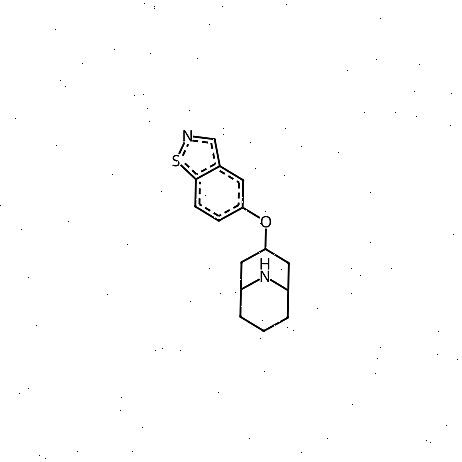 c1cc2sncc2cc1OC1CC2CCCC(C1)N2